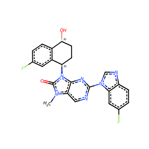 Cn1c(=O)n([C@@H]2CC[C@@H](O)c3ccc(F)cc32)c2nc(-n3cnc4ccc(F)cc43)ncc21